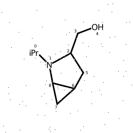 CC(C)N1C(CO)CC2CC21